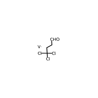 O=CCCC(Cl)(Cl)Cl.[V]